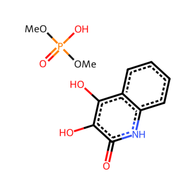 COP(=O)(O)OC.O=c1[nH]c2ccccc2c(O)c1O